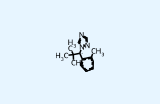 Cc1ccccc1[C](n1cncn1)C(C)(C)C